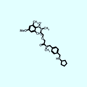 COc1cc(C)c([S+]([O-])N(C)CCOCC(=O)N(C)Cc2ccc(CNC3CCCC3)cc2)c(C)c1